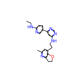 CCNc1ccc(-c2cc(NCCc3cc(C)nc4c3OCC4)ncn2)cn1